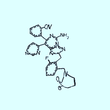 N#Cc1ccccc1-c1nc(N)n2nc(Cc3c(F)cccc3CN3CCCS3(=O)=O)nc2c1-c1ccncn1